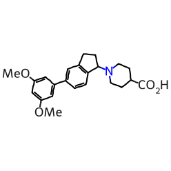 COc1cc(OC)cc(-c2ccc3c(c2)CCC3N2CCC(C(=O)O)CC2)c1